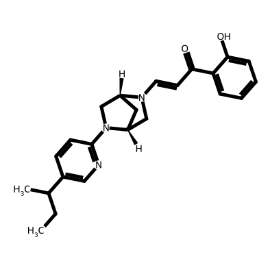 CCC(C)c1ccc(N2C[C@H]3C[C@@H]2CN3/C=C/C(=O)c2ccccc2O)nc1